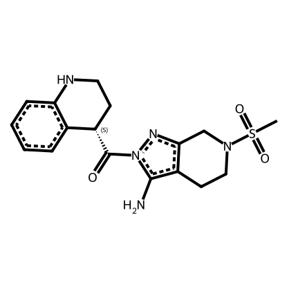 CS(=O)(=O)N1CCc2c(nn(C(=O)[C@H]3CCNc4ccccc43)c2N)C1